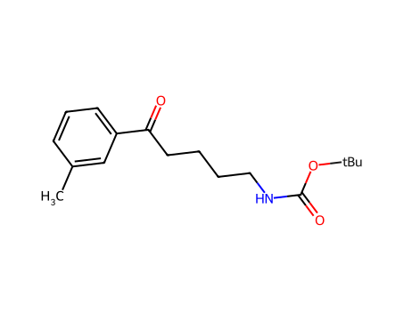 Cc1cccc(C(=O)CCCCNC(=O)OC(C)(C)C)c1